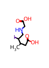 CC(CC(=O)O)C(I)CNCC(=O)O